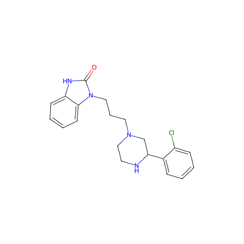 O=c1[nH]c2ccccc2n1CCCN1CCNC(c2ccccc2Cl)C1